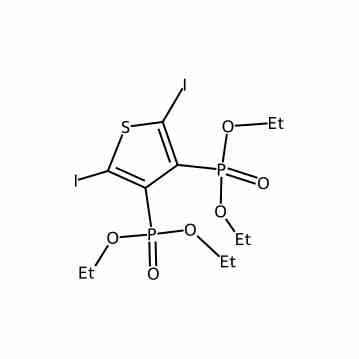 CCOP(=O)(OCC)c1c(I)sc(I)c1P(=O)(OCC)OCC